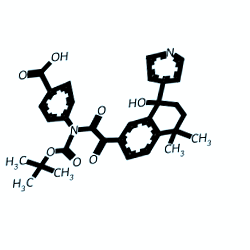 CC(C)(C)OC(=O)N(C(=O)C(=O)c1ccc2c(c1)C(O)(c1ccncc1)CCC2(C)C)c1ccc(C(=O)O)cc1